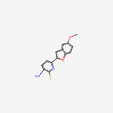 COc1ccc2oc(-c3ccc(N)c(F)n3)cc2c1